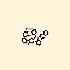 C[Si]1(C)c2ccccc2N2c3c(cccc31)B1c3c(cc4oc5ccccc5c4c32)-c2cccc3c4cc5ccccc5cc4n1c23